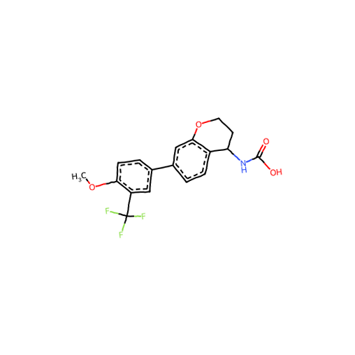 COc1ccc(-c2ccc3c(c2)OCCC3NC(=O)O)cc1C(F)(F)F